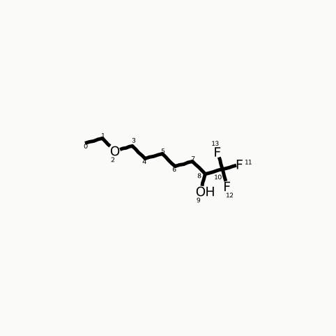 CCOCCCCCC(O)C(F)(F)F